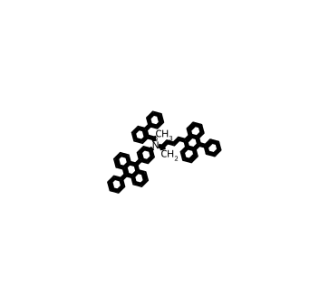 C=C(CCCC1=C2C=CCCC2C(C2=CCCCC2)C2C=CCCC12)N(C1CC=C(C2C3CCC=CC3=C(C3CC=CCC3)C3CCC=CC32)CC1)[C@H](C)C1=C(C2CC=CCC2)CCCC1